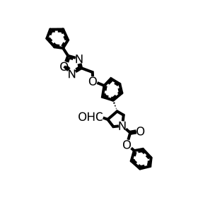 O=CC1CN(C(=O)Oc2ccccc2)C[C@H]1c1cccc(OCc2noc(-c3ccccc3)n2)c1